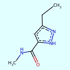 CCc1[c]c(C(=O)NC)[nH]n1